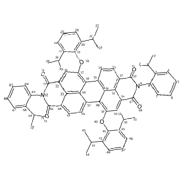 CC(C)c1ccccc1N1C(=O)c2ccc3c4c(Oc5c(C(C)C)cccc5C(C)C)cc5c6c(ccc(c7c(Oc8c(C(C)C)cccc8C(C)C)cc(c2c37)C1=O)c64)C(=O)N(c1ccccc1C(C)C)C5=O